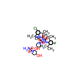 CC(C)c1cc(F)cc(C(C)C)c1NC(=O)N(C(=O)Nc1c(C(C)C)cc(Cl)cc1C(C)C)S(=O)(=O)N1CCC(O)CC1.NS(=O)(=O)N1CCC(O)CC1